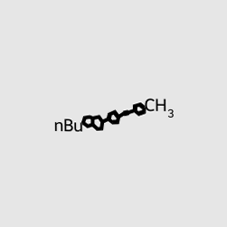 CCCCC1CCC2CC(c3ccc(C#Cc4ccc(C)cc4)cc3)CCC2C1